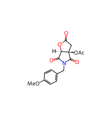 COc1ccc(CN2C(=O)[C@H]3OC(=O)C[C@]3(OC(C)=O)C2=O)cc1